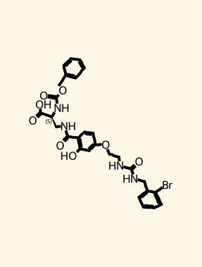 O=C(NCCOc1ccc(C(=O)NC[C@H](NC(=O)OCc2ccccc2)C(=O)O)c(O)c1)NCc1ccccc1Br